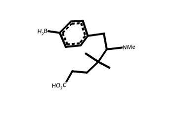 Bc1ccc(CC(NC)C(C)(C)CCC(=O)O)cc1